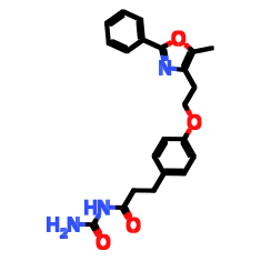 Cc1oc(-c2ccccc2)nc1CCOc1ccc(CCC(=O)NC(N)=O)cc1